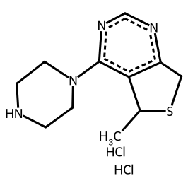 CC1SCc2ncnc(N3CCNCC3)c21.Cl.Cl